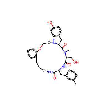 Cc1cccc(C[C@@H]2NC(=O)[C@H](CO)N(C)C(=O)[C@H](Cc3ccc(O)cc3)NCCOc3ccccc3CCCNC2=O)c1